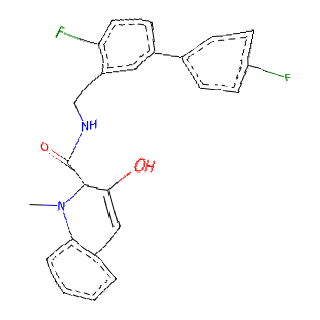 CN1c2ccccc2C=C(O)C1C(=O)NCc1cc(-c2ccc(F)cc2)ccc1F